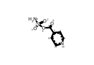 NS(=O)(=O)OC(=O)c1ccncc1